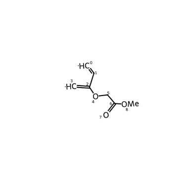 [CH]=CC(=[CH])OCC(=O)OC